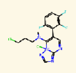 CN(CCCCl)C1=C(c2c(F)ccc(F)c2F)C=NC2=NC=N[N+]21Cl